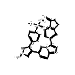 CN1C=C(c2ccc3ncc(-c4ccc5c(c4)CCC5=O)n3c2)C(c2ccc(S(C)(C)C)cc2)N1